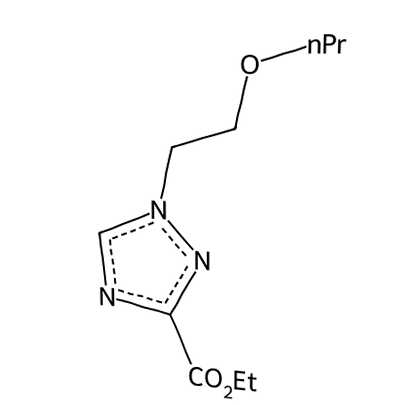 CCCOCCn1cnc(C(=O)OCC)n1